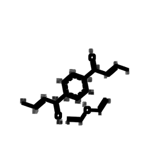 C=COC=C.CC=CC(=O)c1ccc(C(=O)C=CC)cc1